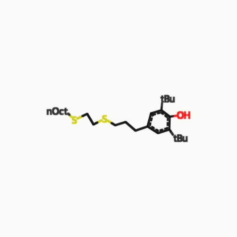 CCCCCCCCSCCSCCCc1cc(C(C)(C)C)c(O)c(C(C)(C)C)c1